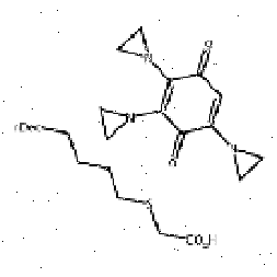 CCCCCCCCCCCCCCSCC(=O)O.O=C1C=C(N2CC2)C(=O)C(N2CC2)=C1N1CC1